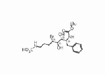 CC(C)(C)OC(=O)N[C@@H](Cc1ccccc1)[C@@H](O)[C@@H](O)[C@H](Br)CCCNC(=O)O